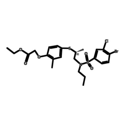 CCCN(C[C@@H](C)Sc1ccc(OCC(=O)OCC)c(C)c1)S(=O)(=O)c1ccc(Br)c(Cl)c1